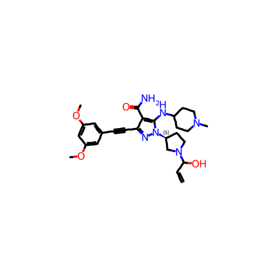 C=CC(O)N1CC[C@H](n2nc(C#Cc3cc(OC)cc(OC)c3)c(C(N)=O)c2NC2CCN(C)CC2)C1